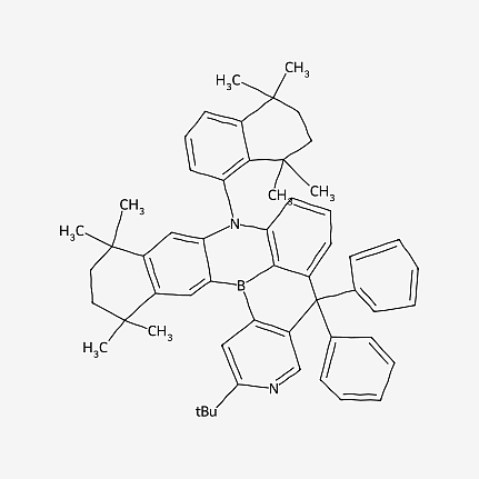 CC(C)(C)c1cc2c(cn1)C(c1ccccc1)(c1ccccc1)c1cccc3c1B2c1cc2c(cc1N3c1cccc3c1C(C)(C)CCC3(C)C)C(C)(C)CCC2(C)C